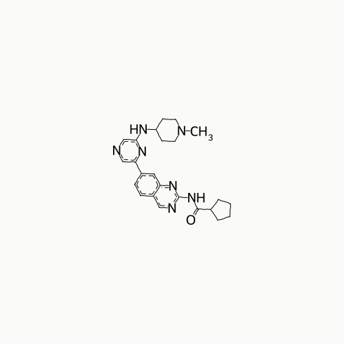 CN1CCC(Nc2cncc(-c3ccc4cnc(NC(=O)C5CCCC5)nc4c3)n2)CC1